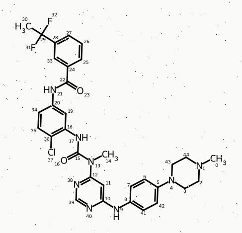 CN1CCN(c2ccc(Nc3cc(N(C)C(=O)Nc4cc(NC(=O)c5cccc(C(C)(F)F)c5)ccc4Cl)ncn3)cc2)CC1